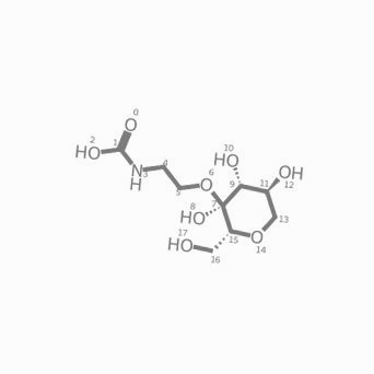 O=C(O)NCCO[C@@]1(O)[C@H](O)[C@@H](O)CO[C@@H]1CO